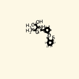 CC(O)C(NCc1cccc(OCc2ccccc2F)c1)C(N)=O